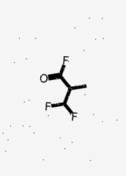 CC(C(=O)F)C(F)F